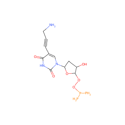 NCC#Cc1cn(C2CC(O)C(OOP(P)P)O2)c(=O)[nH]c1=O